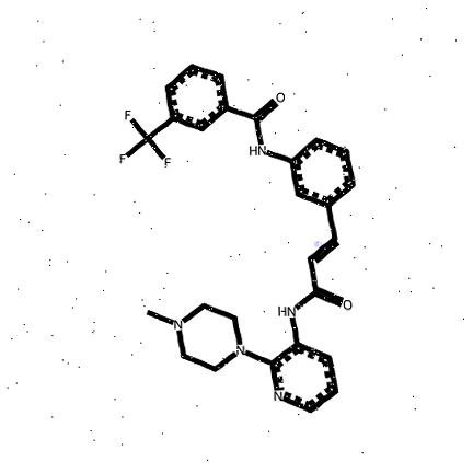 CN1CCN(c2ncccc2NC(=O)/C=C/c2cccc(NC(=O)c3cccc(C(F)(F)F)c3)c2)CC1